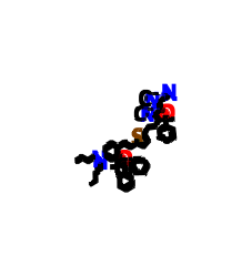 [C-]#[N+]C1=C(/C=C/c2ccc(/C=C/c3ccc(N(CCCC)CCCC)cc3O[Si](c3ccccc3)(c3ccccc3)C(C)(C)C)s2)C(C)(c2ccccc2)O/C1=C(\C#N)[N+]#[C-]